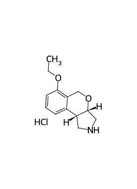 CCOc1cccc2c1CO[C@@H]1CNC[C@H]21.Cl